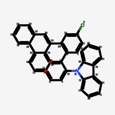 Clc1ccc(-c2ccccc2-n2c3ccccc3c3ccccc32)c(-c2cc3ccccc3c3ccccc23)c1